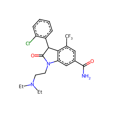 CCN(CC)CCN1C(=O)C(c2ccccc2Cl)c2c1cc(C(N)=O)cc2C(F)(F)F